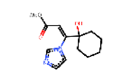 COC(=O)C=C(n1ccnc1)C1(O)CCCCC1